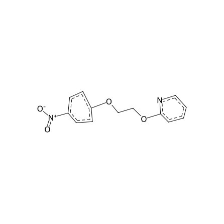 O=[N+]([O-])c1ccc(OCCOc2ccccn2)cc1